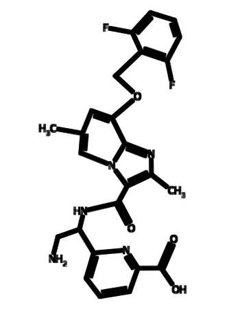 Cc1cc(OCc2c(F)cccc2F)c2nc(C)c(C(=O)NC(CN)c3cccc(C(=O)O)n3)n2c1